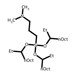 CCCCCCCCC(CC)O[Si](CCCN(C)C)(OC(CC)CCCCCCCC)OC(CC)CCCCCCCC